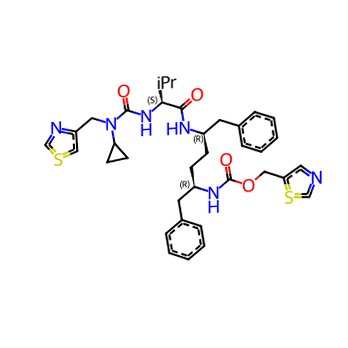 CC(C)[C@H](NC(=O)N(Cc1cscn1)C1CC1)C(=O)N[C@H](CC[C@H](Cc1ccccc1)NC(=O)OCc1cncs1)Cc1ccccc1